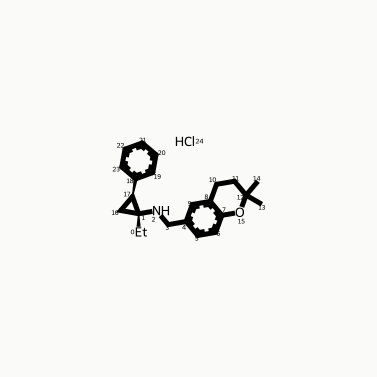 CC[C@@]1(NCc2ccc3c(c2)CCC(C)(C)O3)C[C@H]1c1ccccc1.Cl